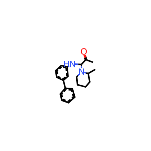 CC(=O)C(Nc1cccc(-c2ccccc2)c1)N1CCCCC1C